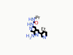 CCc1ccncc1-c1cc2cc(NC(=O)NC(C)C)ncc2c(N)n1